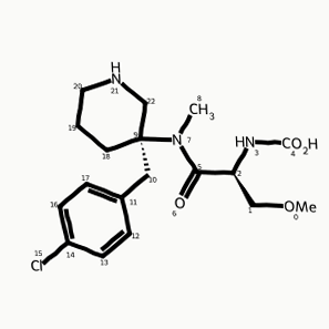 COC[C@H](NC(=O)O)C(=O)N(C)[C@@]1(Cc2ccc(Cl)cc2)CCCNC1